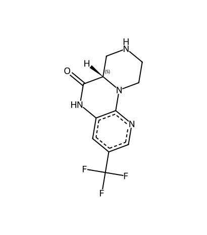 O=C1Nc2cc(C(F)(F)F)cnc2N2CCNC[C@@H]12